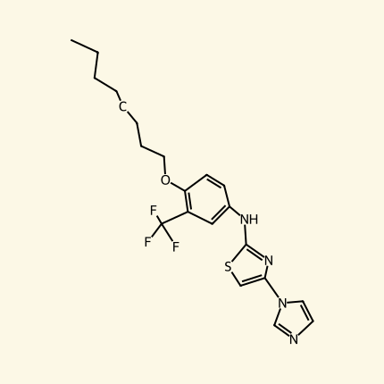 CCCCCCCCOc1ccc(Nc2nc(-n3ccnc3)cs2)cc1C(F)(F)F